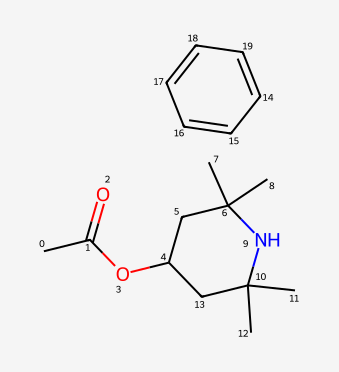 CC(=O)OC1CC(C)(C)NC(C)(C)C1.c1ccccc1